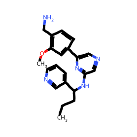 CCCC(Nc1cncc(-c2ccc(CN)c(OC)c2)n1)c1cccnc1